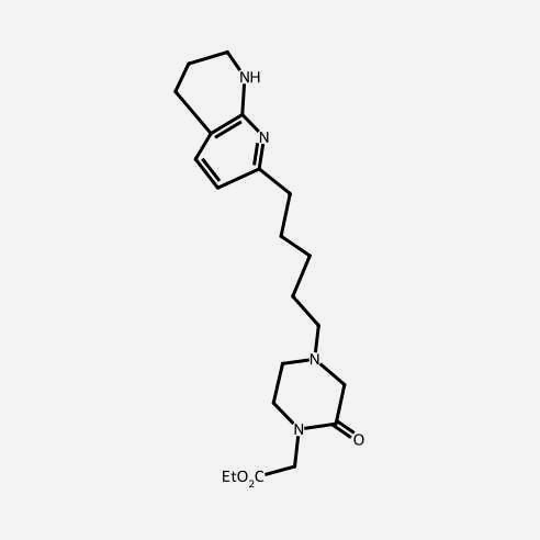 CCOC(=O)CN1CCN(CCCCCc2ccc3c(n2)NCCC3)CC1=O